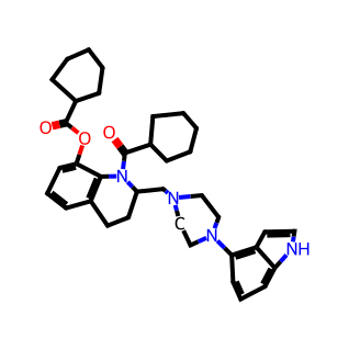 O=C(Oc1cccc2c1N(C(=O)C1CCCCC1)C(CN1CCN(c3cccc4[nH]ccc34)CC1)CC2)C1CCCCC1